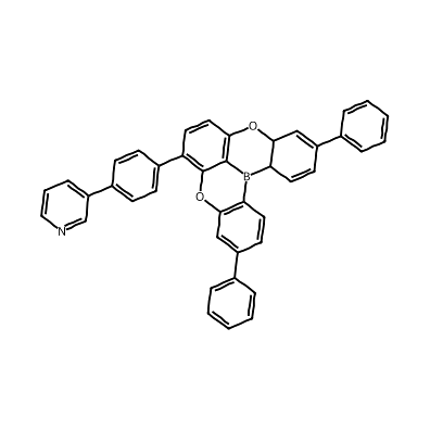 C1=CC2B3c4ccc(-c5ccccc5)cc4Oc4c(-c5ccc(-c6cccnc6)cc5)ccc(c43)OC2C=C1c1ccccc1